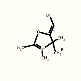 CC1=[N+](C)C(C)(C)/C(=C/Br)O1.[Br-]